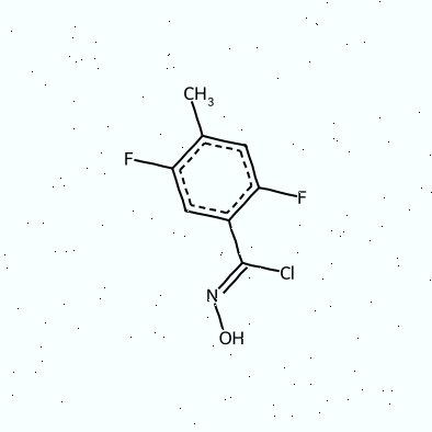 Cc1cc(F)c(C(Cl)=NO)cc1F